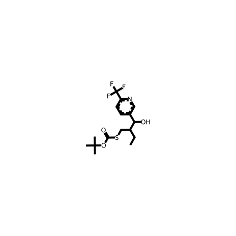 CCC(CSC(=O)OC(C)(C)C)C(O)c1ccc(C(F)(F)F)nc1